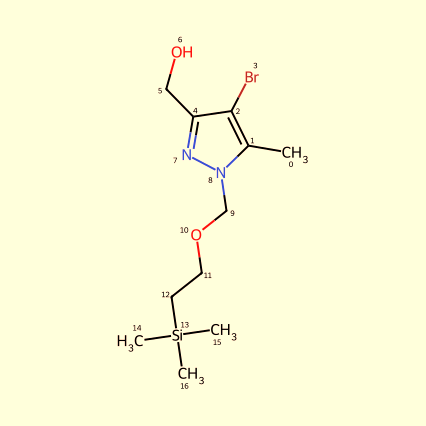 Cc1c(Br)c(CO)nn1COCC[Si](C)(C)C